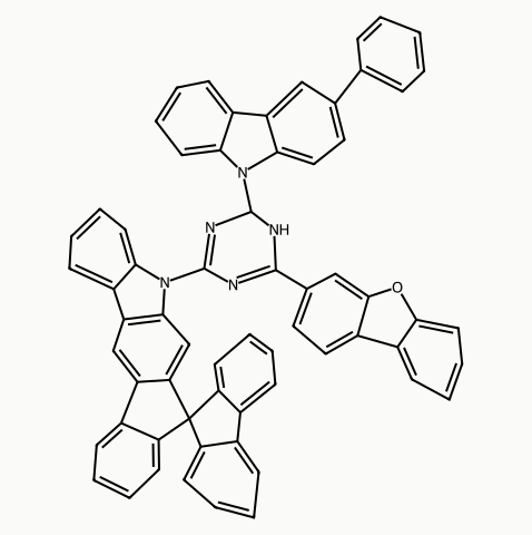 c1ccc(-c2ccc3c(c2)c2ccccc2n3C2N=C(n3c4ccccc4c4cc5c(cc43)C3(c4ccccc4-c4ccccc43)c3ccccc3-5)N=C(c3ccc4c(c3)oc3ccccc34)N2)cc1